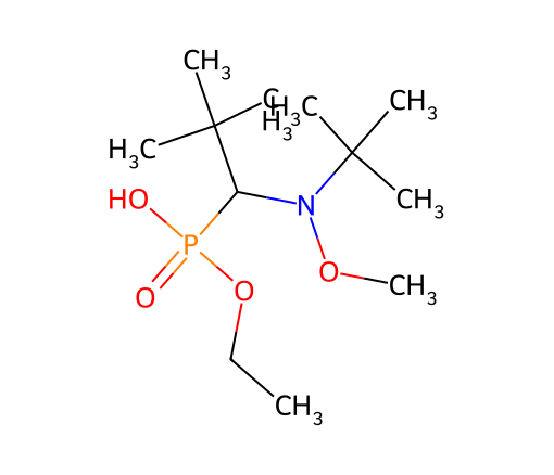 CCOP(=O)(O)C(N(OC)C(C)(C)C)C(C)(C)C